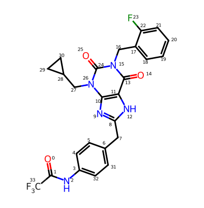 O=C(Nc1ccc(Cc2nc3c([nH]2)c(=O)n(Cc2ccccc2F)c(=O)n3CC2CC2)cc1)C(F)(F)F